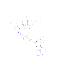 C[C@@H]1CC/C(=N/OCC(=O)NCCc2cc(=O)oc3c4c5c(cc23)CCCN5CCC4)[C@@]1(C)CC[C@H]1CCC[C@H]2C[C@H](O)CC[C@]12C